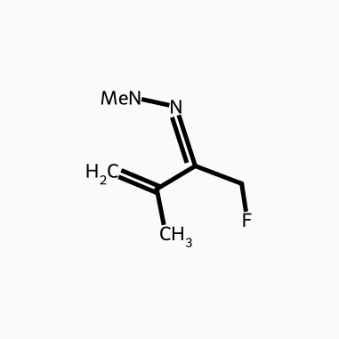 C=C(C)/C(CF)=N\NC